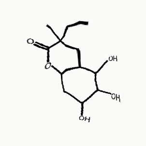 CCC1(C)CC2C(CC(O)C(O)C2O)OC1=O